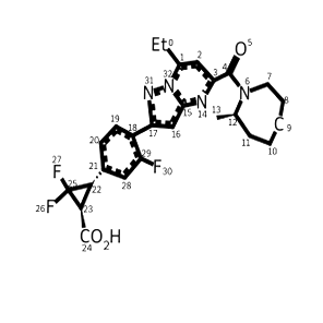 CCc1cc(C(=O)N2CCCCC[C@H]2C)nc2cc(-c3ccc([C@@H]4[C@@H](C(=O)O)C4(F)F)cc3F)nn12